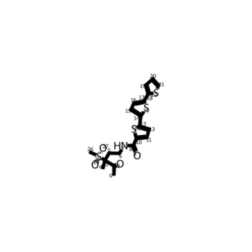 CC(=O)C(C)(CCNC(=O)c1ccc(-c2ccc(-c3cccs3)s2)s1)S(C)(=O)=O